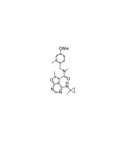 COc1ccc(CN(C)C(=O)c2c(C)oc3ncnc(NC4(C)CC4)c23)c(C)c1